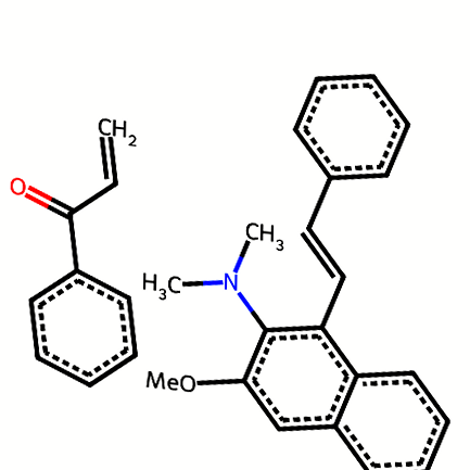 C=CC(=O)c1ccccc1.COc1cc2ccccc2c(C=Cc2ccccc2)c1N(C)C